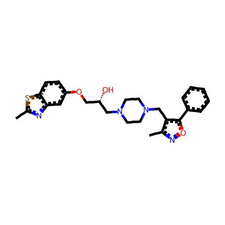 Cc1nc2cc(OC[C@H](O)CN3CCN(Cc4c(C)noc4-c4ccccc4)CC3)ccc2s1